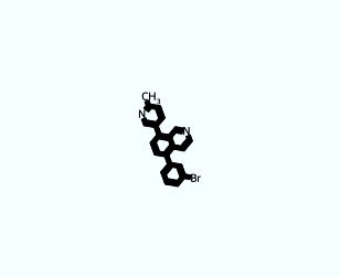 Cc1ccc(-c2ccc(-c3cccc(Br)c3)c3ccncc23)cn1